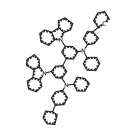 c1ccc(-c2ccc(N(c3ccccc3)c3cc(-c4cc(N(c5ccccc5)c5ccc(-c6ccccc6)cc5)cc(-n5c6ccccc6c6ccccc65)c4)cc(-n4c5ccccc5c5ccccc54)c3)cc2)cc1